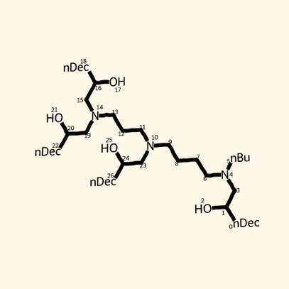 CCCCCCCCCCC(O)CN(CCCC)CCCCN(CCCN(CC(O)CCCCCCCCCC)CC(O)CCCCCCCCCC)CC(O)CCCCCCCCCC